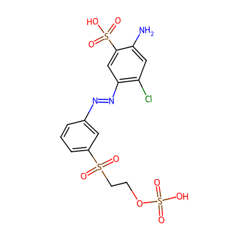 Nc1cc(Cl)c(N=Nc2cccc(S(=O)(=O)CCOS(=O)(=O)O)c2)cc1S(=O)(=O)O